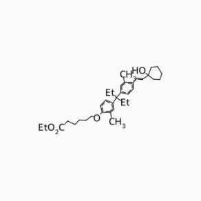 CCOC(=O)CCCCCOc1ccc(C(CC)(CC)c2ccc(C=CC3(O)CCCCC3)c(C)c2)cc1C